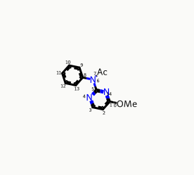 COc1ccnc(N(C(C)=O)c2ccccc2)n1